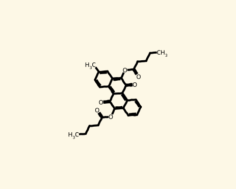 CCCCC(=O)OC1=c2ccccc2=C2C(=O)C(OC(=O)CCCC)=c3cc(C)ccc3=C2C1=O